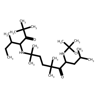 CCC(C)C(NC(C)(C)CCC(C)(C)C(=O)C(CC(C)C)NC(C)(C)C)C(=O)C(C)(C)C